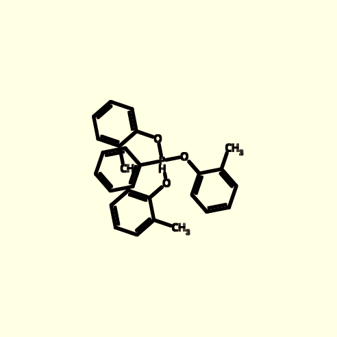 Cc1ccccc1O[PH](Oc1ccccc1C)(Oc1ccccc1C)c1ccccc1